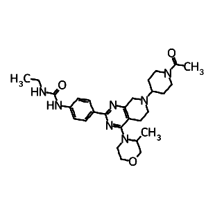 CCNC(=O)Nc1ccc(-c2nc3c(c(N4CCOCC4C)n2)CCN(C2CCN(C(C)=O)CC2)C3)cc1